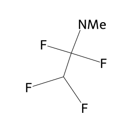 CNC(F)(F)C(F)F